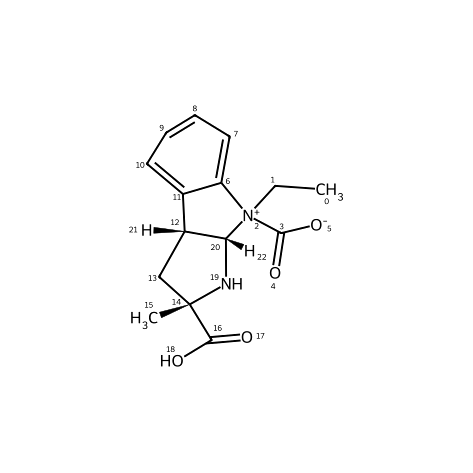 CC[N+]1(C(=O)[O-])c2ccccc2[C@H]2C[C@@](C)(C(=O)O)N[C@H]21